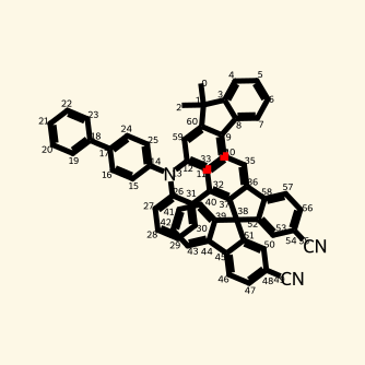 CC1(C)c2ccccc2-c2ccc(N(c3ccc(-c4ccccc4)cc3)c3ccccc3-c3cccc4c3C3(c5ccccc5-c5ccc(C#N)cc53)c3cc(C#N)ccc3-4)cc21